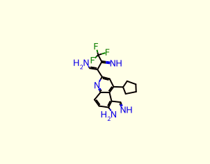 N=Cc1c(N)ccc2nc(/C(=C/N)C(=N)C(F)(F)F)cc(C3CCCC3)c12